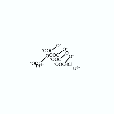 Cl.O=C([O-])[O-].O=C([O-])[O-].O=C([O-])[O-].O=C([O-])[O-].O=C([O-])[O-].[Th+4].[U+6]